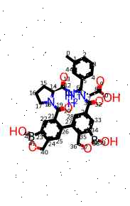 Cc1cccc([C@H](CC(=O)O)NC(=O)[C@@H]2CCCN2C(=O)c2cc3c(cc2-c2cc(C(N)=O)cc4c2COB4O)COB3O)c1